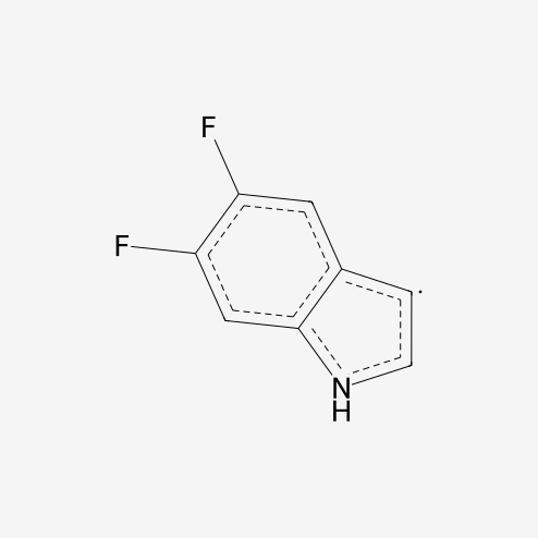 Fc1cc2[c]c[nH]c2cc1F